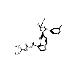 CC(C)NC(=O)NC(=O)c1cnn2ccc(N3CC(F)(F)C[C@@H]3c3cccc(F)c3)nc12